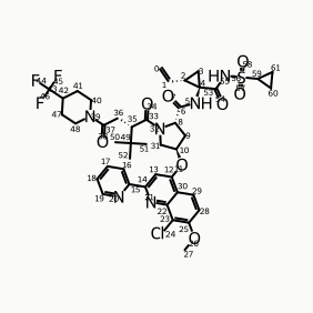 C=C[C@@H]1C[C@]1(NC(=O)[C@@H]1C[C@@H](Oc2cc(-c3ccccn3)nc3c(Cl)c(OC)ccc23)CN1C(=O)[C@@H](CC(=O)N1CCC(C(F)(F)F)CC1)C(C)(C)C)C(=O)NS(=O)(=O)C1CC1